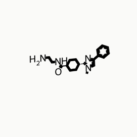 Cn1cc(-c2ccccc2)nc1[C@H]1CC[C@H](C(=O)NCCN)CC1